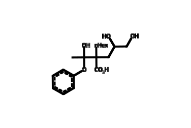 CCCCCCC(CC(O)CO)(C(=O)O)C(C)(O)Oc1ccccc1